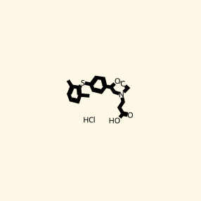 Cc1cccc(C)c1Sc1ccc(C2CN(CCC(=O)O)CCO2)cc1.Cl